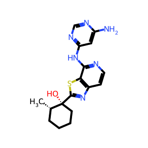 C[C@H]1CCCC[C@]1(O)c1nc2ccnc(Nc3cc(N)ncn3)c2s1